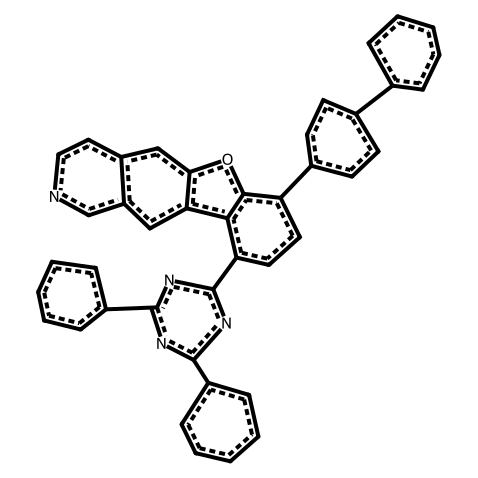 c1ccc(-c2ccc(-c3ccc(-c4nc(-c5ccccc5)nc(-c5ccccc5)n4)c4c3oc3cc5ccncc5cc34)cc2)cc1